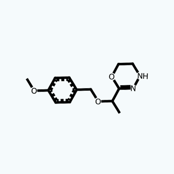 COc1ccc(COC(C)C2=NNCCO2)cc1